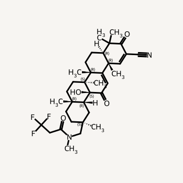 CN(C[C@@]1(C)CC[C@]2(C)CC[C@@]3(C)[C@]4(C)CC[C@H]5C(C)(C)C(=O)C(C#N)=C[C@]5(C)C4=CC(=O)[C@]3(O)[C@@H]2C1)C(=O)CC(F)(F)F